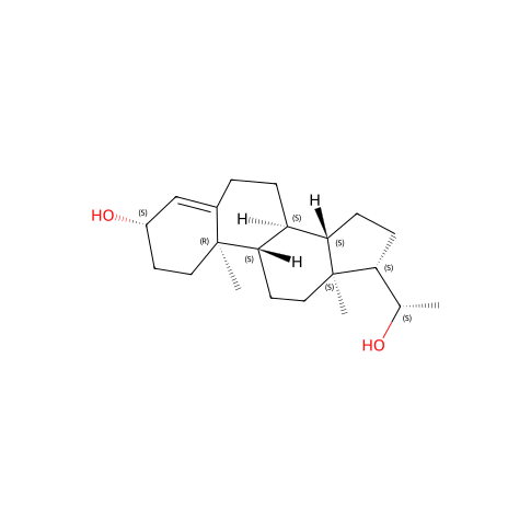 C[C@H](O)[C@H]1CC[C@H]2[C@@H]3CCC4=C[C@@H](O)CC[C@]4(C)[C@H]3CC[C@]12C